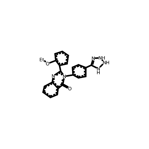 CCOc1ccccc1-c1nc2ccccc2c(=O)n1-c1ccc(C2=NNNN2)cc1